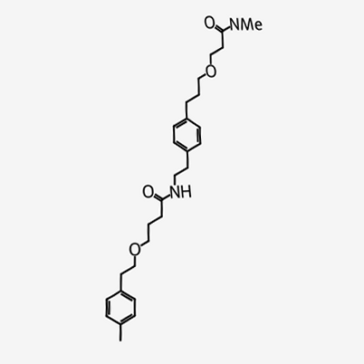 CNC(=O)CCOCCCc1ccc(CCNC(=O)CCCOCCc2ccc(C)cc2)cc1